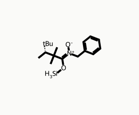 C[C@H](C(C)(C)C)C(C)(C)C(O[SiH3])=[N+]([O-])Cc1ccccc1